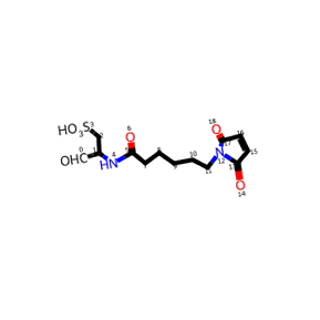 O=CC(CS(=O)(=O)O)NC(=O)CCCCCN1C(=O)C=CC1=O